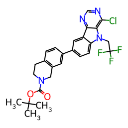 CC(C)(C)OC(=O)N1CCc2ccc(-c3ccc4c(c3)c3ncnc(Cl)c3n4CC(F)(F)F)cc2C1